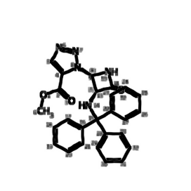 COC(=O)c1cnnn1[C@H]1NC(=O)[C@H]1NC(c1ccccc1)(c1ccccc1)c1ccccc1